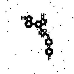 Fc1ccc(N2CCN(Cc3nnc(-c4cc(-c5cccc6[nH]ccc56)cc5[nH]ncc45)o3)CC2)cc1